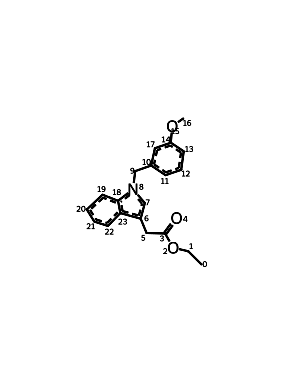 CCOC(=O)Cc1cn(Cc2cccc(OC)c2)c2ccccc12